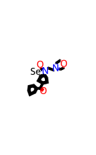 O=C(c1ccccc1)c1ccc2c(c1)[se]c(=O)n2CCN1CCOCC1